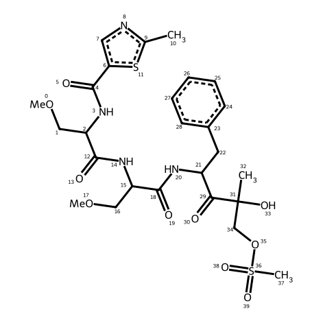 COCC(NC(=O)c1cnc(C)s1)C(=O)NC(COC)C(=O)NC(Cc1ccccc1)C(=O)C(C)(O)COS(C)(=O)=O